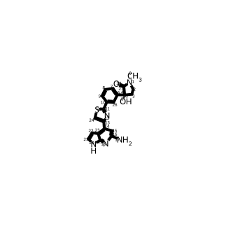 CN1CC[C@@](O)(c2cccc(-c3nc(-c4cc(N)nc5[nH]ccc45)cs3)c2)C1=O